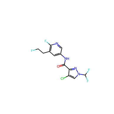 O=C(Nc1cnc(F)c(CCF)c1)c1nn(C(F)F)cc1Cl